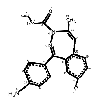 CCCCNC(=O)N1N=C(c2ccc(N)cc2)c2cc(Cl)ccc2C=C1C